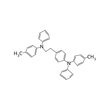 Cc1ccc(N(CCc2ccc(N(c3ccccc3)c3ccc(C)cc3)cc2)c2ccccc2)cc1